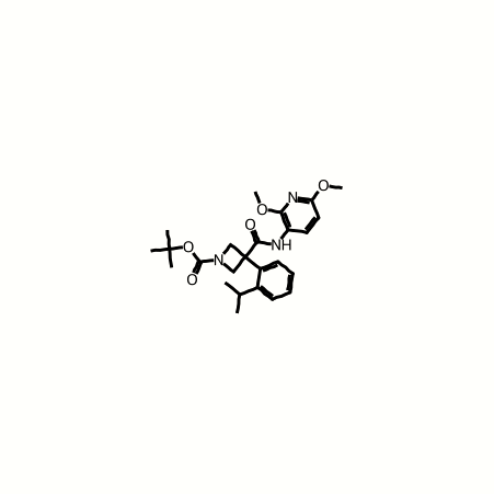 COc1ccc(NC(=O)C2(c3ccccc3C(C)C)CN(C(=O)OC(C)(C)C)C2)c(OC)n1